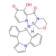 O=C1c2c(O)c(=O)ccn2N([C@H]2c3ccccc3-c3cccn3-c3ccccc32)[C@@H]2COCCN12